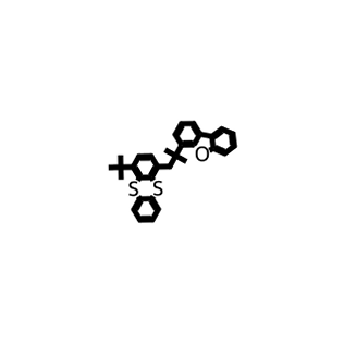 CC(C)(C)c1ccc(CC(C)(C)c2cccc3c2oc2ccccc23)c2c1Sc1ccccc1S2